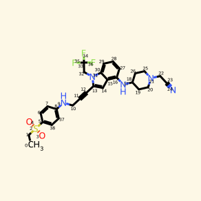 CCS(=O)(=O)c1ccc(NCC#Cc2cc3c(NC4CCN(CC#N)CC4)cccc3n2CC(F)(F)F)cc1